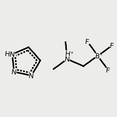 C[NH+](C)C[B-](F)(F)F.c1c[nH]nn1